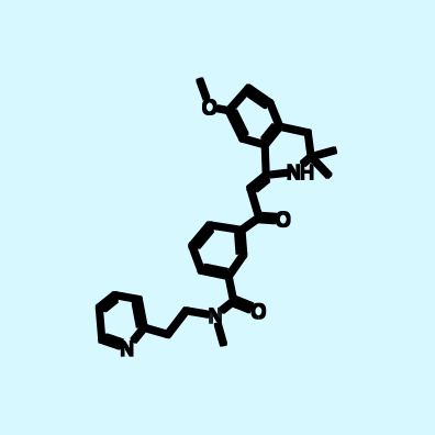 COc1ccc2c(c1)C(=CC(=O)c1cccc(C(=O)N(C)CCc3ccccn3)c1)NC(C)(C)C2